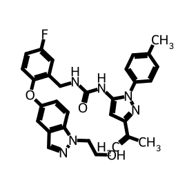 C=C(C)c1cc(NC(=O)NCc2cc(F)ccc2Oc2ccc3c(cnn3CCO)c2)n(-c2ccc(C)cc2)n1